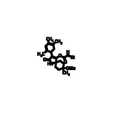 CCNC(=O)OC1=C(C2CC(C)=C(C)C=C2C)C(=O)NC12CCC(C)(OC)CC2